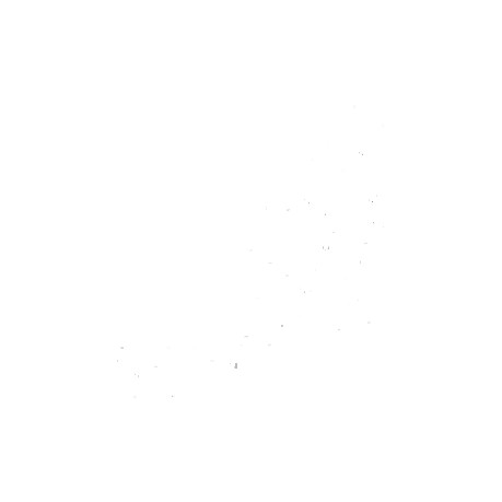 BC(B)(B)NC(=O)c1nnc(NC(=O)C2CC2)cc1Nc1cccc(-c2ncc(CC(=O)NC3CCC(N(C)C)CC3)s2)c1OC